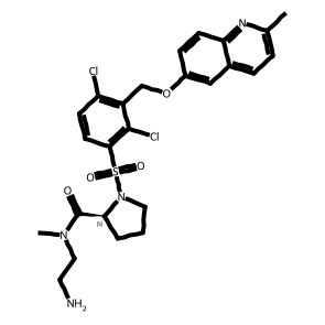 Cc1ccc2cc(OCc3c(Cl)ccc(S(=O)(=O)N4CCC[C@H]4C(=O)N(C)CCN)c3Cl)ccc2n1